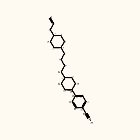 C=CCC1CCC(CCCCC2CCC(c3ccc(C#N)cc3)CC2)CC1